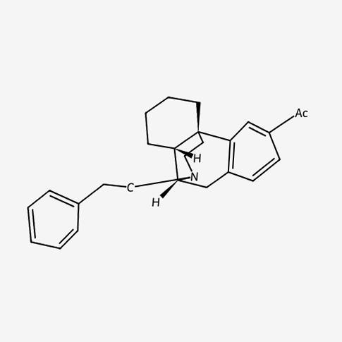 CC(=O)c1ccc2c(c1)[C@@]13CCCC[C@H]1[C@@H](C2)N(CCc1ccccc1)CC3